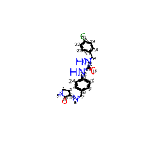 CN1CC[C@H](N(C)Cc2ccc(NC(=O)NCc3ccc(F)cc3)cc2)C1=O